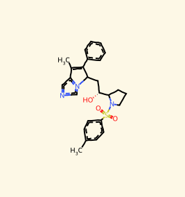 CC1=C(c2ccccc2)C(C[C@@H](O)C2CCCN2S(=O)(=O)c2ccc(C)cc2)n2cncc21